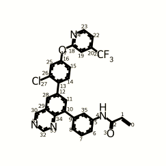 C=CC(=O)Nc1cccc(-c2cc(-c3ccc(Oc4cc(C(F)(F)F)ccn4)cc3Cl)cc3cncnc23)c1